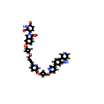 O=C1CCC(N2Cc3cc(O[C@H]4C[C@H](OCC#Cc5ccc(O[C@H]6C[C@H](Oc7ccc(-c8ccc9c(c8)[nH]c8ccncc89)cn7)C6)cn5)C4)ccc3C2=O)C(=O)N1